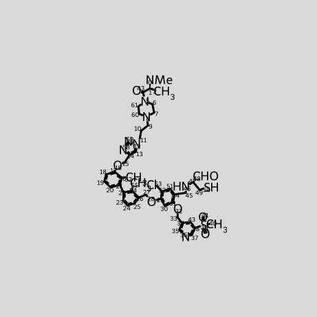 CN[C@@H](C)C(=O)N1CCN(CCCn2cc(COc3cccc(-c4cccc(COc5cc(OCc6cncc(S(C)(=O)=O)c6)c(CNC(C=O)CS)cc5Cl)c4C)c3C)nn2)CC1